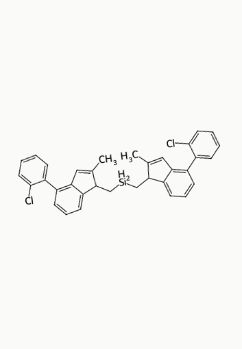 CC1=Cc2c(-c3ccccc3Cl)cccc2C1C[SiH2]CC1C(C)=Cc2c(-c3ccccc3Cl)cccc21